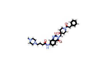 CN1CCN(CCCC(=O)Nc2ccc3c(=O)n(CC4(O)CCN(C(=O)Cc5ccccc5)CC4)cnc3c2)CC1